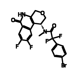 CN(C(=O)C(F)(F)c1ccc(Br)cc1)[C@H]1COCc2[nH]c(=O)c3cc(F)c(F)cc3c21